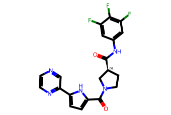 O=C(Nc1cc(F)c(F)c(F)c1)[C@H]1CCN(C(=O)c2ccc(-c3cnccn3)[nH]2)C1